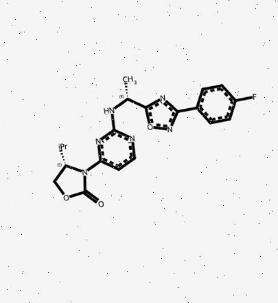 CC(C)[C@H]1COC(=O)N1c1ccnc(N[C@H](C)c2nc(-c3ccc(F)cc3)no2)n1